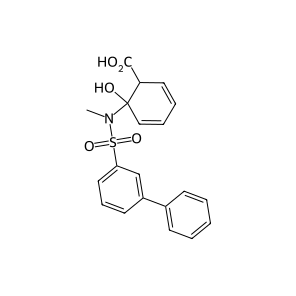 CN(C1(O)C=CC=CC1C(=O)O)S(=O)(=O)c1cccc(-c2ccccc2)c1